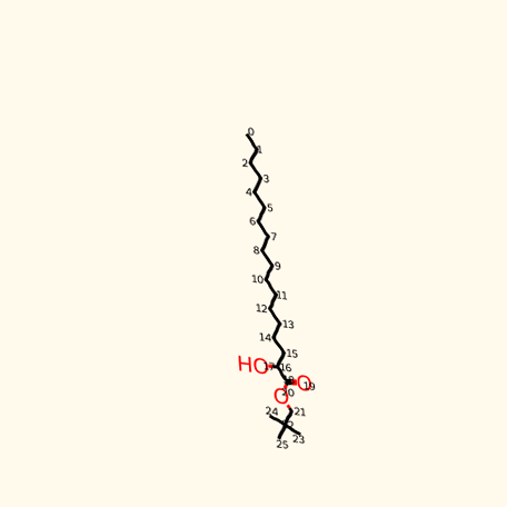 CCCCCCCCCCCCCCCCC(O)C(=O)OCC(C)(C)C